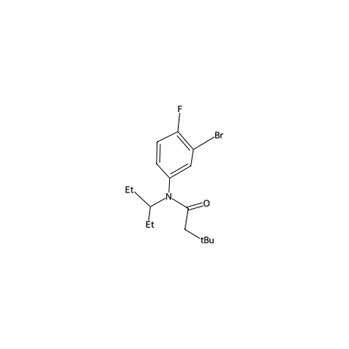 CCC(CC)N(C(=O)CC(C)(C)C)c1ccc(F)c(Br)c1